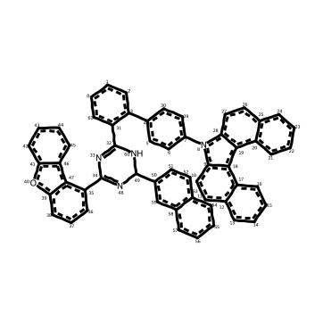 c1ccc(-c2ccc(-n3c4ccc5ccccc5c4c4c5ccccc5ccc43)cc2)c(C2=NC(c3cccc4oc5ccccc5c34)=NC(c3ccc4ccccc4c3)N2)c1